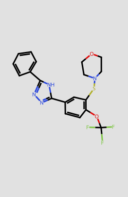 FC(F)(F)Oc1ccc(-c2nnc(-c3ccccc3)[nH]2)cc1SN1CCOCC1